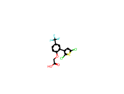 O=C(O)COc1ccc(C(F)(F)F)cc1-c1cc(Cl)sc1Cl